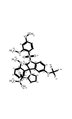 COc1ccc(S(=O)(=O)N2C(=O)C(c3ccccc3OC)(N3CCC[C@H]3C(=O)N(C)C)c3cc(OC(F)(F)F)ccc32)c(OC)c1